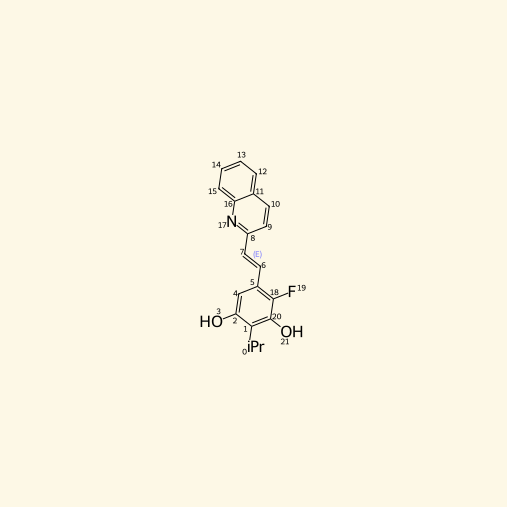 CC(C)c1c(O)cc(/C=C/c2ccc3ccccc3n2)c(F)c1O